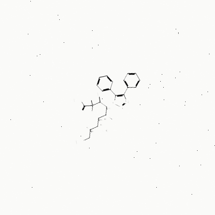 C[C@H]1[C@H]([C@H](O)[C@H](O)CO)OC(F)(C(=O)O)C(F)[C@@H]1n1nnc(-c2ccccc2)c1-c1ccccc1